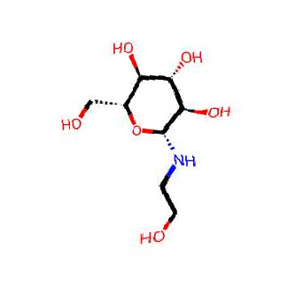 OCCN[C@@H]1O[C@H](CO)[C@@H](O)[C@H](O)[C@H]1O